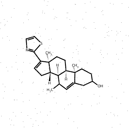 CC1C=C2CC(O)CC[C@]2(C)[C@@H]2CC[C@]3(C)C(c4nccs4)=CC[C@H]3[C@H]12